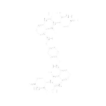 Cc1nc2cccc(NCc3ccc(CNc4cccc5nc(C)n(C6CCC(=O)NC6=O)c(=O)c45)cc3)c2c(=O)n1C1CCC(=O)NC1=O